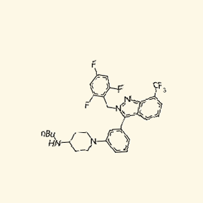 CCCCNC1CCN(c2cccc(-c3c4cccc(C(F)(F)F)c4nn3Cc3c(F)cc(F)cc3F)c2)CC1